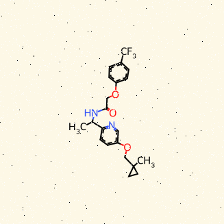 CC(NC(=O)COc1ccc(C(F)(F)F)cc1)c1ccc(OCC2(C)CC2)cn1